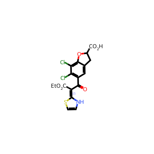 CCOC(=O)/C(C(=O)c1cc2c(c(Cl)c1Cl)OC(C(=O)O)C2)=C1/NC=CS1